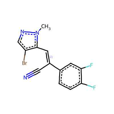 Cn1ncc(Br)c1/C=C(\C#N)c1ccc(F)c(F)c1